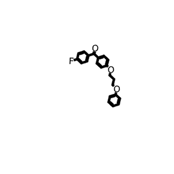 O=C(c1ccc(F)cc1)c1ccc(OCCCOc2ccccc2)cc1